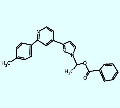 Cc1ccc(-c2cc(-c3ccn(C(C)OC(=O)c4ccccc4)n3)ccn2)cc1